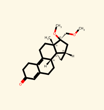 COC[C@]1(OC)C[C@@H]2C[C@@]23[C@@H]2CCC4=CC(=O)CCC4=C2CC[C@]13C